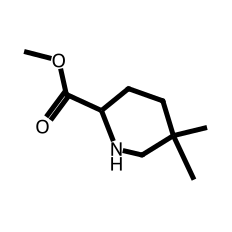 COC(=O)C1CCC(C)(C)CN1